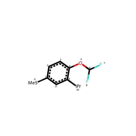 CSc1ccc(OC(F)F)c(C(C)C)c1